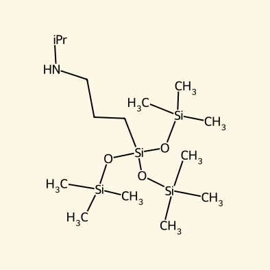 CC(C)NCCC[Si](O[Si](C)(C)C)(O[Si](C)(C)C)O[Si](C)(C)C